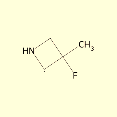 CC1(F)[CH]NC1